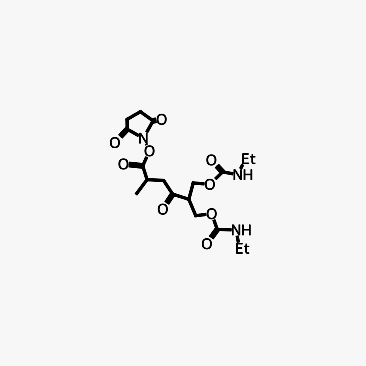 CCNC(=O)OCC(COC(=O)NCC)C(=O)CC(C)C(=O)ON1C(=O)CCC1=O